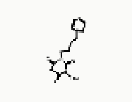 CCCCN1C(=O)CC(=O)N(CCCCc2ccccc2)C1=O